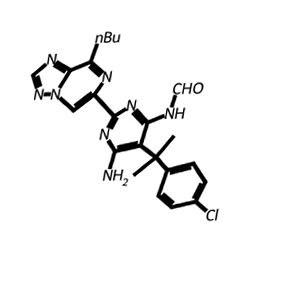 CCCCc1nc(-c2nc(N)c(C(C)(C)c3ccc(Cl)cc3)c(NC=O)n2)cn2ncnc12